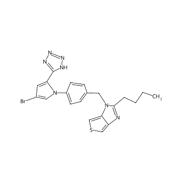 CCCCc1nc2cscc2n1Cc1ccc(-n2cc(Br)cc2-c2nnn[nH]2)cc1